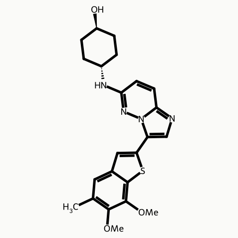 COc1c(C)cc2cc(-c3cnc4ccc(N[C@H]5CC[C@H](O)CC5)nn34)sc2c1OC